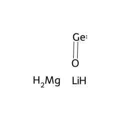 [LiH].[MgH2].[O]=[Ge]